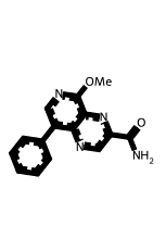 COc1ncc(-c2ccccc2)c2ncc(C(N)=O)nc12